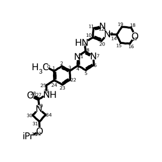 Cc1cc(-c2ccnc(Nc3cnn(C4CCOCC4)c3)n2)ccc1CNC(=O)N1CC(OC(C)C)C1